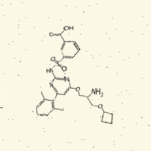 Cc1cccc(C)c1-c1cc(OCC(N)COC2CCC2)nc(NS(=O)(=O)c2cccc(C(=O)O)c2)n1